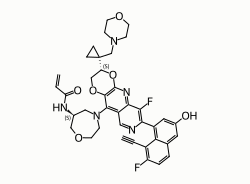 C#Cc1c(F)ccc2cc(O)cc(-c3ncc4c(N5CCOC[C@@H](NC(=O)C=C)C5)c5c(nc4c3F)O[C@@H](C3(CN4CCOCC4)CC3)CO5)c12